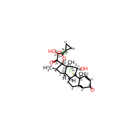 C[C@@H]1C[C@H]2[C@@H]3CCC4=CC(=O)C=C[C@]4(C)[C@@]3(F)[C@@H](O)C[C@]2(C)[C@@]1(OC(=O)C1CC1)C(=O)C(O)Cl